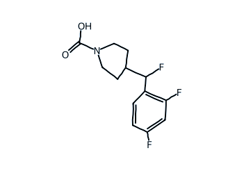 O=C(O)N1CCC(C(F)c2ccc(F)cc2F)CC1